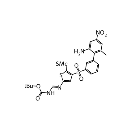 CSc1sc(N=CNC(=O)OC(C)(C)C)cc1S(=O)(=O)c1cccc(-c2c(C)cc([N+](=O)[O-])cc2N)c1